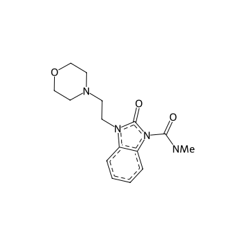 CNC(=O)n1c(=O)n(CCN2CCOCC2)c2ccccc21